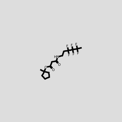 CC1(OC(=O)CC(=O)NCCC(F)(F)C(F)(F)C(C)(F)F)CCCC1